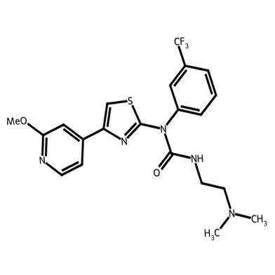 COc1cc(-c2csc(N(C(=O)NCCN(C)C)c3cccc(C(F)(F)F)c3)n2)ccn1